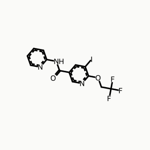 O=C(Nc1ccccn1)c1cnc(OCC(F)(F)F)c(I)c1